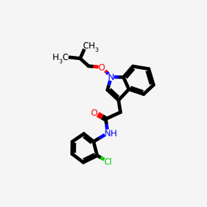 CC(C)COn1cc(CC(=O)Nc2ccccc2Cl)c2ccccc21